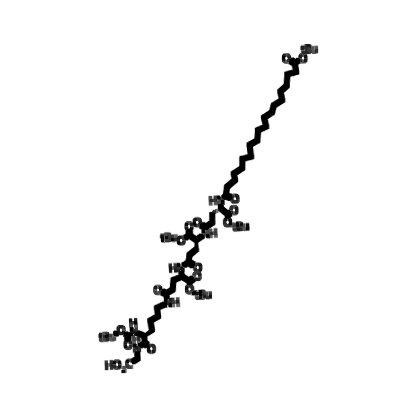 CC(C)(C)OC(=O)CCCCCCCCCCCCCCCCCCC(=O)N[C@@H](CCC(=O)N[C@@H](CCC(=O)NC(CCC(=O)NCCCC[C@H](NC(=O)OC(C)(C)C)C(=O)NCC(=O)O)C(=O)OC(C)(C)C)C(=O)OC(C)(C)C)C(=O)OC(C)(C)C